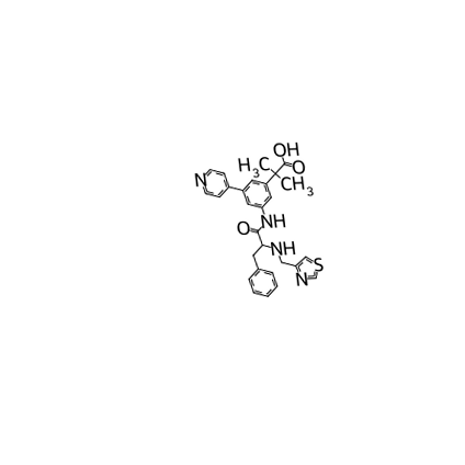 CC(C)(C(=O)O)c1cc(NC(=O)C(Cc2ccccc2)NCc2cscn2)cc(-c2ccncc2)c1